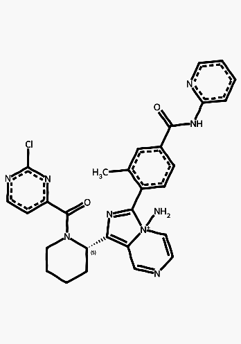 Cc1cc(C(=O)Nc2ccccn2)ccc1C1=NC([C@@H]2CCCCN2C(=O)c2ccnc(Cl)n2)=C2C=NC=C[N+]12N